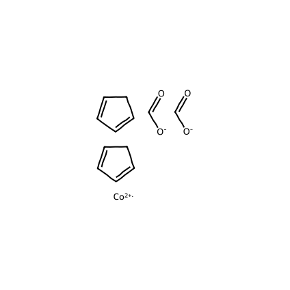 C1=CCC=C1.C1=CCC=C1.O=C[O-].O=C[O-].[Co+2]